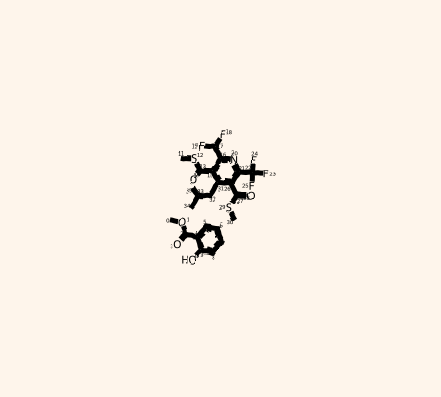 COC(=O)c1ccccc1O.CSC(=O)c1c(C(F)F)nc(C(F)(F)F)c(C(=O)SC)c1CC(C)C